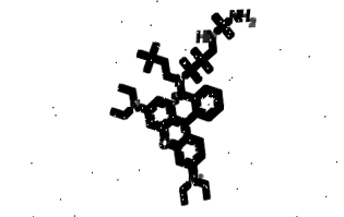 CCN(CC)c1ccc2c(-c3ccccc3C(=S)N(CCC(C)(C)C)C(C)(C)C(C)(C)CNC(C)(C)N)c3ccc(=[N+](CC)CC)cc-3oc2c1